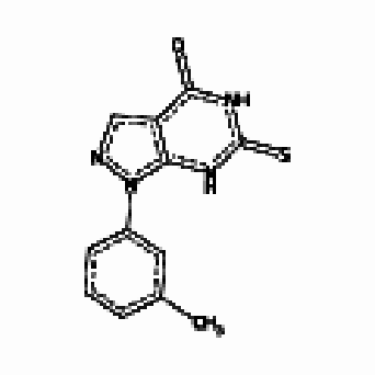 Cc1cccc(-n2ncc3c(=O)[nH]c(=S)[nH]c32)c1